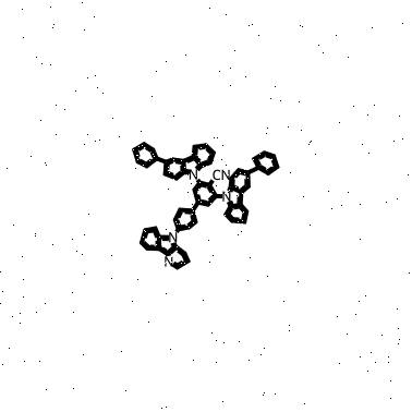 N#Cc1c(-n2c3ccccc3c3cc(-c4ccccc4)ccc32)cc(-c2ccc(-n3c4ccccc4c4ncccc43)cc2)cc1-n1c2ccccc2c2cc(-c3ccccc3)ccc21